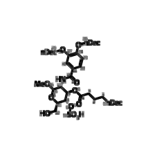 CCCCCCCCCCCCCC(=O)O[C@H]1[C@H](OS(=O)(=O)O)[C@@H](CO)OC(OC)[C@@H]1NC(=O)c1ccc(OCCCCCCCCCC)c(OCCCCCCCCCC)c1